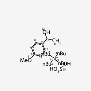 CCCC[N+](CCCC)(CCCC)CCCC.COc1ccc(C(C)O)cc1.O=S(=O)(O)O